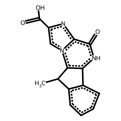 CC1c2ccccc2-c2[nH]c(=O)c3nc(C(=O)O)cn3c21